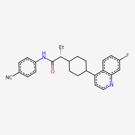 CC[C@@H](C(=O)Nc1ccc(C#N)cc1)C1CCC(c2ccnc3cc(F)ccc23)CC1